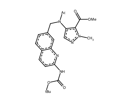 COC(=O)c1c(N(Cc2ccc3ccc(NC(=O)OC(C)(C)C)nc3c2)C(C)=O)cnn1C